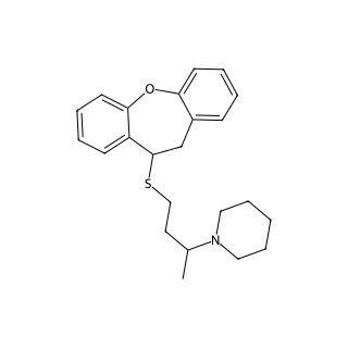 CC(CCSC1Cc2ccccc2Oc2ccccc21)N1CCCCC1